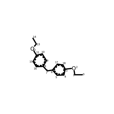 CCOc1ccc([CH]c2ccc(OCC)cc2)cc1